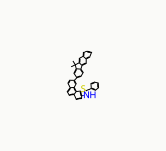 CC1(C)c2cc(-c3ccc4ccc5ccc6c(c5c4c3)SC(c3ccccc3)N6)ccc2-c2cc3ccccc3cc21